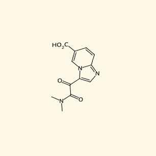 CN(C)C(=O)C(=O)c1cnc2ccc(C(=O)O)cn12